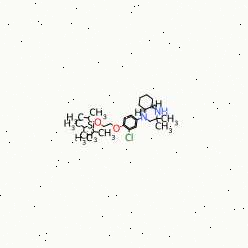 CC(C)[Si](OCCOc1ccc(N2CC(C)(C)N[C@H]3CCCC[C@@H]32)cc1Cl)(C(C)C)C(C)C